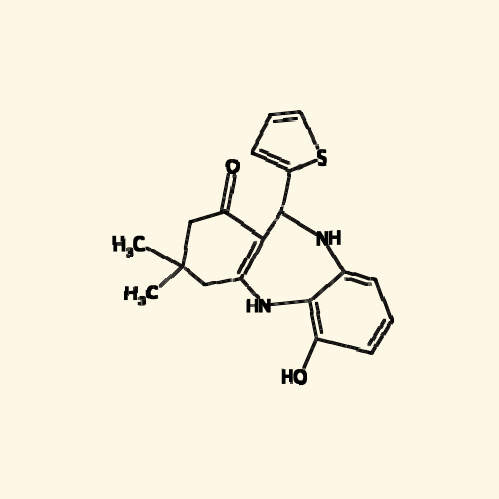 CC1(C)CC(=O)C2=C(C1)Nc1c(O)cccc1NC2c1cccs1